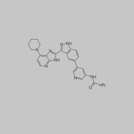 CCCC(=O)Nc1cncc(-c2ccc3[nH]nc(-c4nc5c(N6CCCCC6)ccnc5[nH]4)c3c2)c1